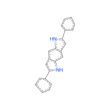 c1ccc(-c2cc3cc4[nH]c(-c5ccccc5)cc4cc3[nH]2)cc1